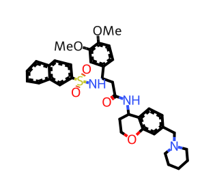 COc1ccc(C(CC(=O)NC2CCOc3cc(CN4CCCCC4)ccc32)NS(=O)(=O)c2ccc3ccccc3c2)cc1OC